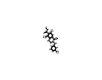 C=C(CC)c1c(Cl)cc2c(c1Cl)CCN(Cc1cccc(Cl)c1)C2=O